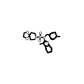 Cc1ccc(CN(c2sc3ccccc3c2C)S(=O)(=O)N2CCC3(CC2)OCCO3)cc1